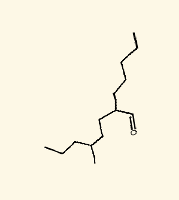 CCCCCC(C=O)CCC(C)CCC